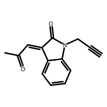 C#CCN1C(=O)/C(=C/C(C)=O)c2ccccc21